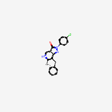 Cc1[nH]cc2c(=O)n(-c3ccc(Cl)cc3)nc-2c1Cc1ccccc1